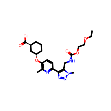 CCOCCOC(=O)NCc1c(-c2ccc(O[C@H]3CCC[C@H](C(=O)O)C3)c(C)n2)nnn1C